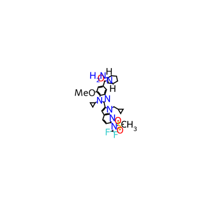 COc1cc(C(=O)N2[C@H]3CC[C@@H]2[C@H](N)C3)cc2nc(-c3cc4ccc(N(C(F)F)S(C)(=O)=O)nc4n3CC3CC3)n(C3CC3)c12